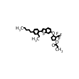 C=CC(=O)OC1CCC(Oc2ccc3cc(-c4ccc(CCCCC)cc4CC)sc3c2)C1C(F)(F)F